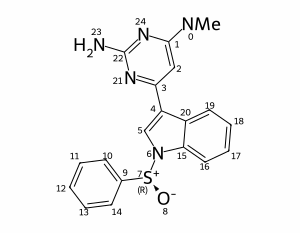 CNc1cc(-c2cn([S@@+]([O-])c3ccccc3)c3ccccc23)nc(N)n1